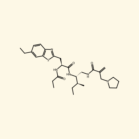 C=C(CN1CCCC1)C(=O)NC[C@@H](NC(=O)[C@H](Cc1nc2ccc(CC)cc2s1)NC(=O)CC)[C@@H](C)CC